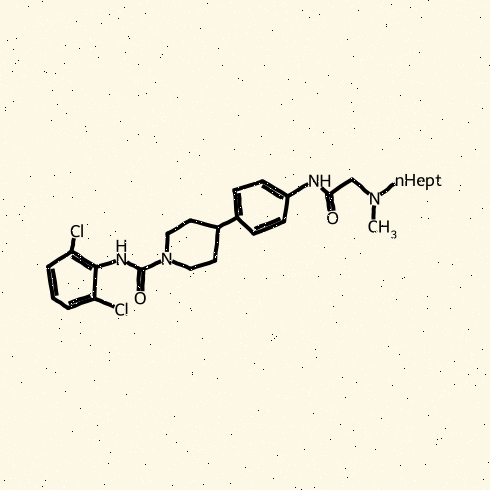 CCCCCCCN(C)CC(=O)Nc1ccc(C2CCN(C(=O)Nc3c(Cl)cccc3Cl)CC2)cc1